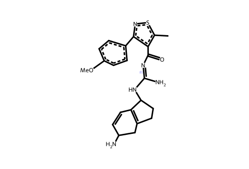 COc1ccc(-c2nsc(C)c2C(=O)/N=C(\N)NC2CCC3=C2C=CC(N)C3)cc1